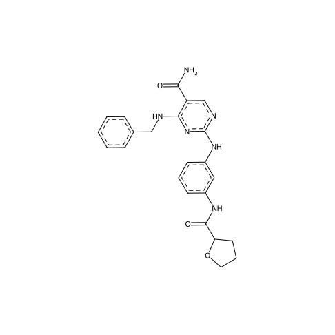 NC(=O)c1cnc(Nc2cccc(NC(=O)C3CCCO3)c2)nc1NCc1ccccc1